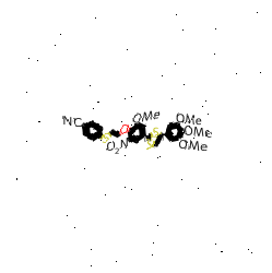 COc1cc([C@H]2CS[C@H](c3cc(OC)c(OCCSc4ccc(C#N)cc4)c([N+](=O)[O-])c3)S2)cc(OC)c1OC